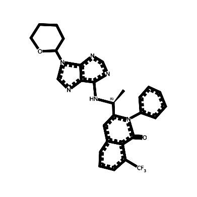 C[C@H](Nc1ncnc2c1ncn2C1CCCCO1)c1cc2cccc(C(F)(F)F)c2c(=O)n1-c1ccccc1